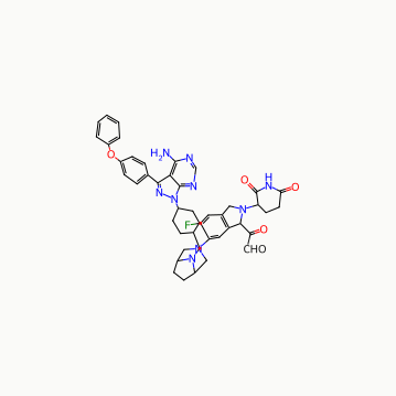 Nc1ncnc2c1c(-c1ccc(Oc3ccccc3)cc1)nn2C1CCC(CN2C3CCC2CN(c2cc4c(cc2F)CN(C2CCC(=O)NC2=O)C4C(=O)C=O)C3)CC1